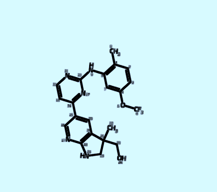 Cc1ccc(OC(F)(F)F)cc1Nc1nccc(-c2cnc3c(c2)C(C)(CO)CN3)n1